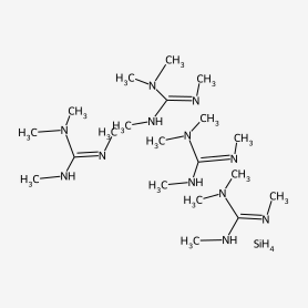 CN=C(NC)N(C)C.CN=C(NC)N(C)C.CN=C(NC)N(C)C.CN=C(NC)N(C)C.[SiH4]